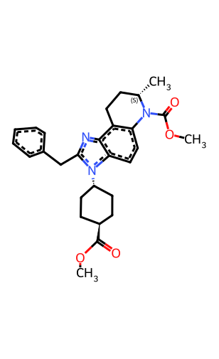 COC(=O)N1c2ccc3c(nc(Cc4ccccc4)n3[C@H]3CC[C@H](C(=O)OC)CC3)c2CC[C@@H]1C